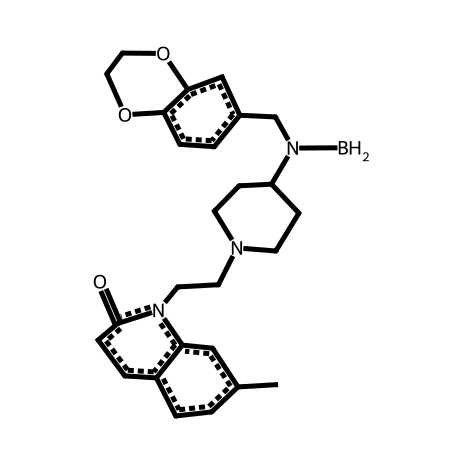 BN(Cc1ccc2c(c1)OCCO2)C1CCN(CCn2c(=O)ccc3ccc(C)cc32)CC1